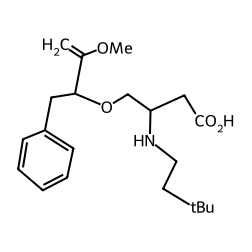 C=C(OC)C(Cc1ccccc1)OCC(CC(=O)O)NCCC(C)(C)C